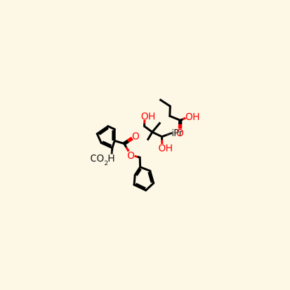 CC(C)C(O)C(C)(C)CO.CCCC(=O)O.O=C(O)c1ccccc1C(=O)OCc1ccccc1